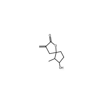 C=C1CC2(CCC(O)C2C)OC1=O